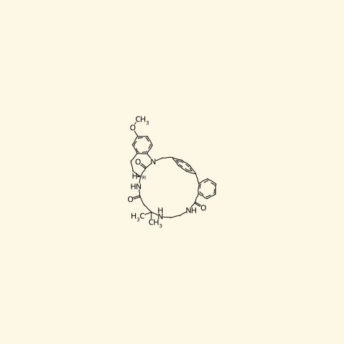 COc1ccc2c(c1)CC[C@H]1NC(=O)CC(C)(C)NCCNC(=O)c3ccccc3-c3ccc(cc3)CN2C1=O